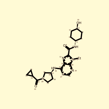 CCn1c(C(=O)N[C@H]2CC[C@H](O)CC2)nc2c(N[C@H]3CCN(C(=O)C4CC4)C3)ncnc21